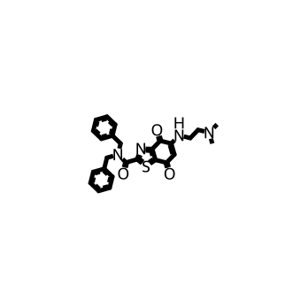 CN(C)CCNC1=CC(=O)c2sc(C(=O)N(Cc3ccccc3)Cc3ccccc3)nc2C1=O